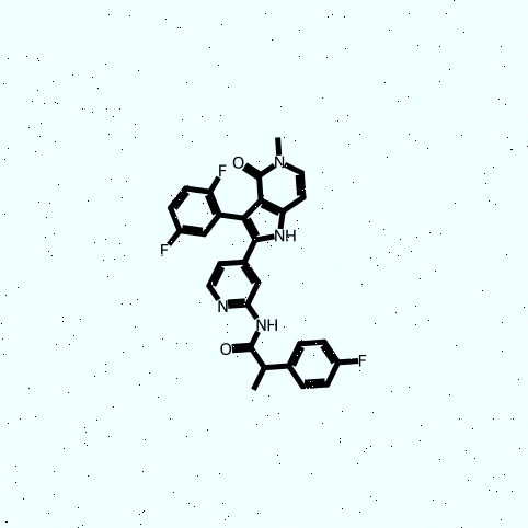 CC(C(=O)Nc1cc(-c2[nH]c3ccn(C)c(=O)c3c2-c2cc(F)ccc2F)ccn1)c1ccc(F)cc1